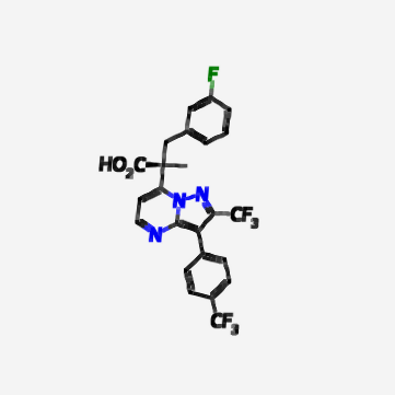 C[C@](Cc1cccc(F)c1)(C(=O)O)c1ccnc2c(-c3ccc(C(F)(F)F)cc3)c(C(F)(F)F)nn12